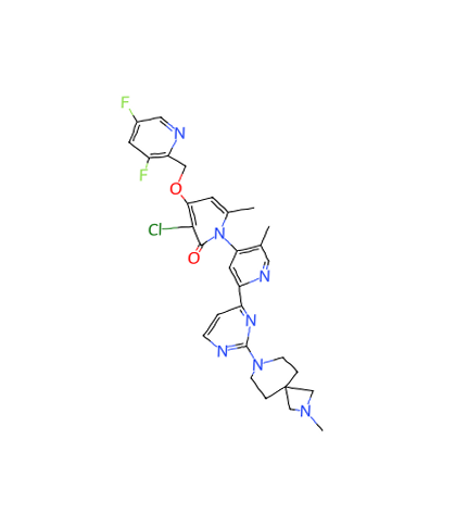 Cc1cnc(-c2ccnc(N3CCC4(CC3)CN(C)C4)n2)cc1-n1c(C)cc(OCc2ncc(F)cc2F)c(Cl)c1=O